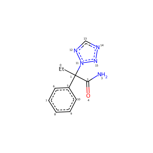 CCC(C(N)=O)(c1ccccc1)n1ncnn1